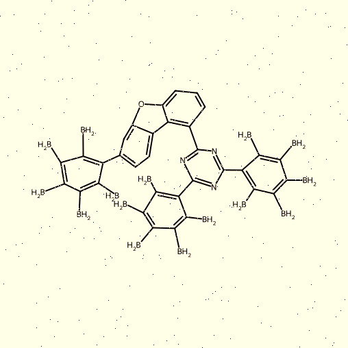 Bc1c(B)c(B)c(-c2ccc3c(c2)oc2cccc(-c4nc(-c5c(B)c(B)c(B)c(B)c5B)nc(-c5c(B)c(B)c(B)c(B)c5B)n4)c23)c(B)c1B